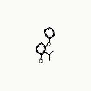 CC(C)c1c(Cl)cccc1Oc1ccccc1